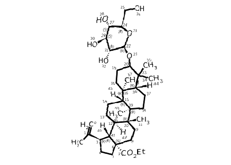 C=C(C)[C@@H]1CC[C@]2(C(=O)OCC)CC[C@]3(C)[C@H](CC[C@@H]4[C@@]5(C)CCC(O[C@@H]6O[C@H](CO)[C@@H](O)[C@H](O)[C@H]6O)C(C)(C)[C@@H]5CC[C@]43C)[C@@H]12